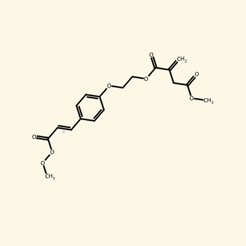 C=C(CC(=O)OC)C(=O)OCCOc1ccc(/C=C/C(=O)OOC)cc1